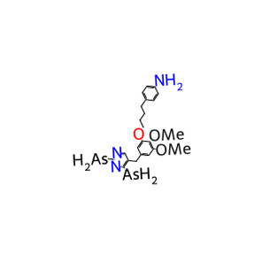 COc1cc(Cc2cnc([AsH2])nc2[AsH2])cc(OCCCCc2ccc(N)cc2)c1OC